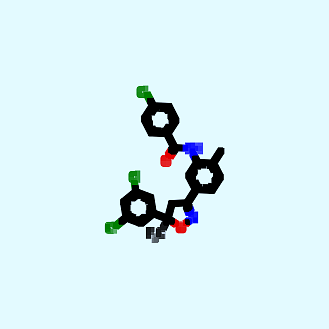 Cc1ccc(C2=NOC(c3cc(Cl)cc(Cl)c3)(C(F)(F)F)C2)cc1NC(=O)c1ccc(Cl)cc1